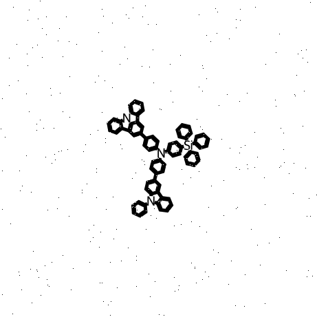 c1ccc(-n2c3ccccc3c3cc(-c4ccc(N(c5ccc(-c6cc7c8ccccc8n8c9ccccc9c(c6)c78)cc5)c5ccc([Si](c6ccccc6)(c6ccccc6)c6ccccc6)cc5)cc4)ccc32)cc1